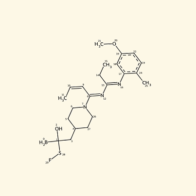 BC(O)(CC1CCN(C(/C=C\C)=N/C(CC)=N/c2cc(OC)ccc2C)CC1)SF